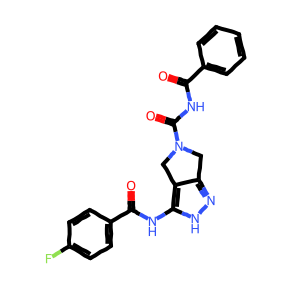 O=C(NC(=O)N1Cc2n[nH]c(NC(=O)c3ccc(F)cc3)c2C1)c1ccccc1